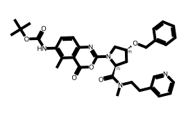 Cc1c(NC(=O)OC(C)(C)C)ccc2nc(N3C[C@H](OCc4ccccc4)C[C@H]3C(=O)N(C)CCc3cccnc3)oc(=O)c12